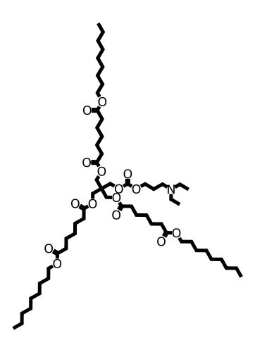 CCCCCCCCCOC(=O)CCCCCC(=O)OCC(COC(=O)CCCCCC(=O)OCCCCCCCCC)(COC(=O)CCCCCC(=O)OCCCCCCCCC)COC(=O)OCCCN(CC)CC